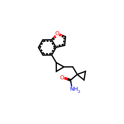 NC(=O)C1(CC2CC2c2cccc3occc23)CC1